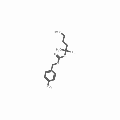 CC(C)(CCCC(=O)O)NC(=O)OCc1ccc([N+](=O)[O-])cc1